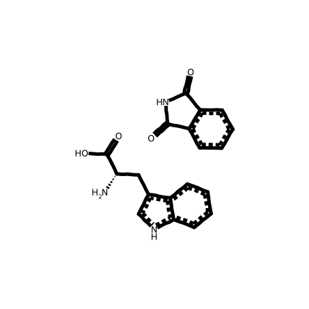 N[C@@H](Cc1c[nH]c2ccccc12)C(=O)O.O=C1NC(=O)c2ccccc21